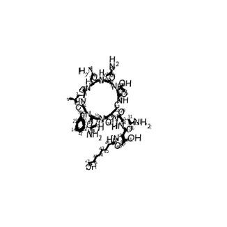 CC(C)C[C@@H]1NC(=O)[C@@H](Cc2ccccc2)NC(=O)[C@H](CCN)NC(=O)[C@@H](NC(=O)[C@H](CCN)NC(=O)[C@@H](NC(=O)CCCCCCCO)C(C)O)CCNC(=O)[C@H](C(C)O)NC(=O)[C@H](CCN)NC(=O)[C@H](CCN)NC1=O